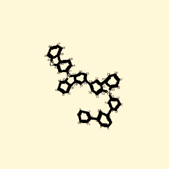 c1ccc(-c2cccc(-c3cccc(-n4c5ccccc5c5cc(-c6ccc7c(c6)c6ccccc6n7-c6ccc7c(c6)oc6ccccc67)ccc54)c3)c2)cc1